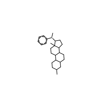 CC1CCC2C(CCC3C2CCC2(C)C3CCC2P(C)c2ccccc2)C1